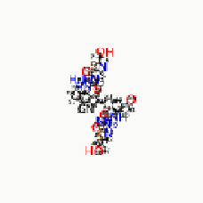 COCc1nc(C(C)(C)O)sc1S(N)(=O)=NC(=O)Nc1c2c(c(C#N)c3c1CC(C1Cc4cc5c(c(NC(=O)N=S(N)(=O)c6ncc(C(C)(C)O)s6)c4C1)CCC5=O)C3)CCC2